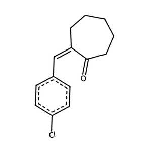 O=C1CCCCC/C1=C/c1ccc(Cl)cc1